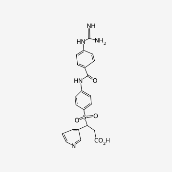 N=C(N)Nc1ccc(C(=O)Nc2ccc(S(=O)(=O)C(CC(=O)O)c3cccnc3)cc2)cc1